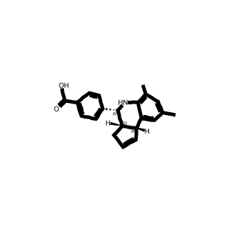 Cc1cc(C)c2c(c1)[C@@H]1C=CC[C@@H]1[C@H](c1ccc(C(=O)O)cc1)N2